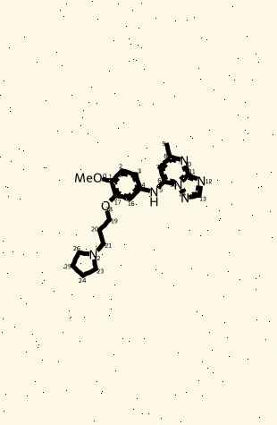 COc1ccc(Nc2cc(C)nc3ncnn23)cc1OCCCN1CCCC1